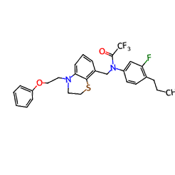 O=CCCc1ccc(N(Cc2cccc3c2SCCN3CCOc2ccccc2)C(=O)C(F)(F)F)cc1F